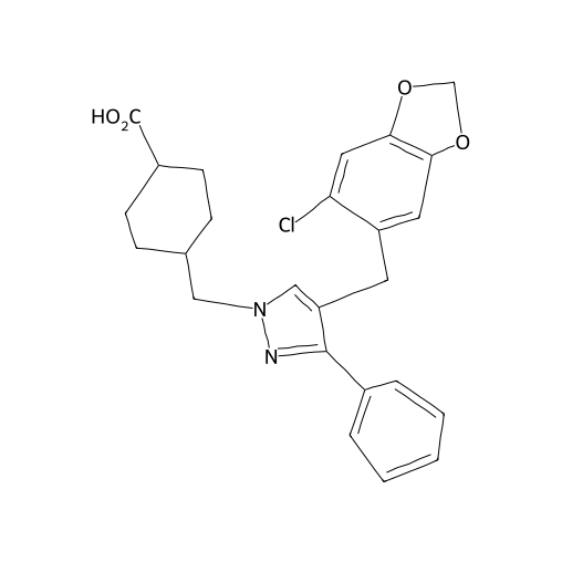 O=C(O)C1CCC(Cn2cc(Cc3cc4c(cc3Cl)OCO4)c(-c3ccccc3)n2)CC1